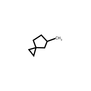 CC1CCC2(CC2)C1